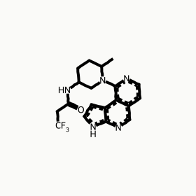 CC1CCC(NC(=O)CC(F)(F)F)CN1c1nccc2cnc3[nH]ccc3c12